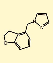 c1cc(Cn2cccn2)c2c(c1)OCC2